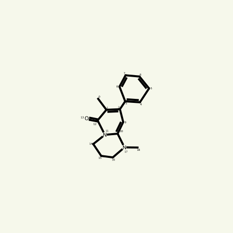 Cc1c(-c2ccccc2)cc2n(c1=O)CCCN2C